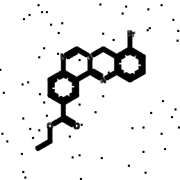 CCOC(=O)c1ccc2c(c1)C1=Nc3cccc(Br)c3CN1C=N2